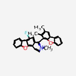 Cc1cc2c(oc3ccccc32)c(-c2c3cc(F)c4c5ccccc5oc4c3cc[n+]2C)c1C